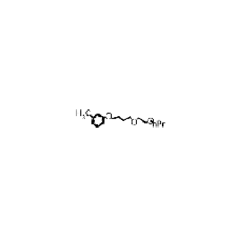 CCCOCCOCCCCOc1cccc(C)c1